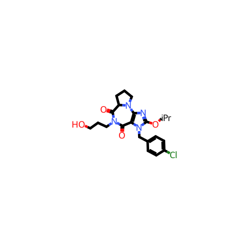 CC(C)Oc1nc2c(n1Cc1ccc(Cl)cc1)C(=O)N(CCCO)C(=O)C1CCCN21